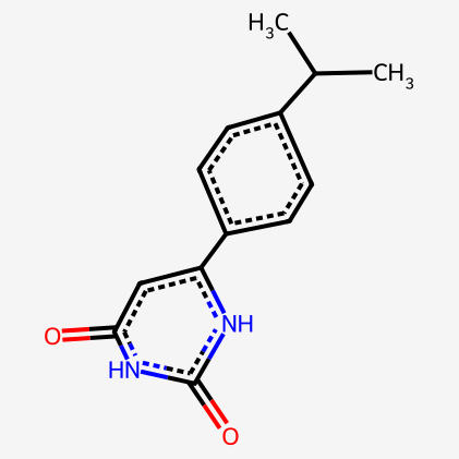 CC(C)c1ccc(-c2cc(=O)[nH]c(=O)[nH]2)cc1